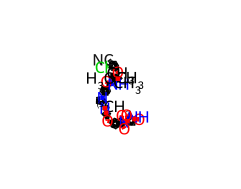 CN(C[C@@H]1CCN(c2ccc(C(=O)NC3C(C)(C)C(Oc4ccc(C#N)c(Cl)c4)C3(C)C)cc2)C1)C1CC(Oc2ccc3c(c2)C(=O)N(C2CCC(=O)NC2=O)C3=O)C1